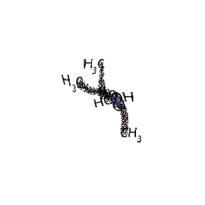 CCCCCCCCCCCCCCN(CCCCCCCCCCCCCC)c1ccc(C2=C(O)/C(=C3C=C/C(=N\C(=O)CCCCCCCCCCCCC)C=C\3O)C2=O)cn1